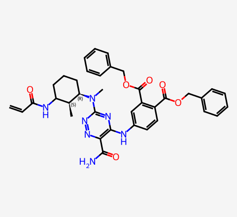 C=CC(=O)NC1CCC[C@@H](N(C)c2nnc(C(N)=O)c(Nc3ccc(C(=O)OCc4ccccc4)c(C(=O)OCc4ccccc4)c3)n2)[C@H]1C